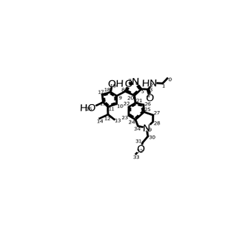 CCNC(=O)c1noc(-c2cc(C(C)C)c(O)cc2O)c1-c1ccc2c(c1)CCN(CCOC)C2